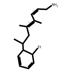 CCC1C=CC=CC1C(C)C/C(C)=C(C)/C=C\CN